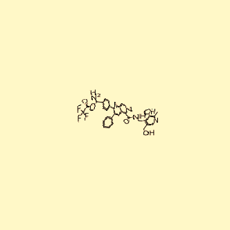 Cc1ncc(CO)c(CNC(=O)c2nccc3nc(-c4ccc(C(N)OC(=O)C(F)(F)F)cc4)c(-c4ccccc4)cc23)c1O